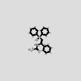 CC(=O)NC(=CP(=O)(c1ccccc1)c1ccccc1)c1ccccc1